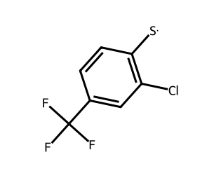 FC(F)(F)c1ccc([S])c(Cl)c1